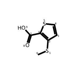 CSc1ccsc1C(=O)O